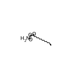 C#CCCCCCCCCCCCCC(=O)C1O[C@H]1C(N)=O